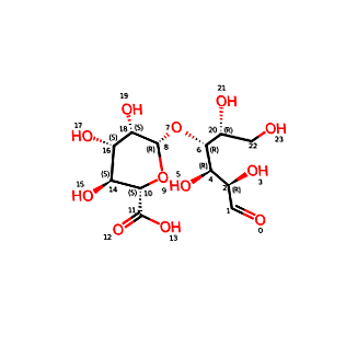 O=C[C@H](O)[C@@H](O)[C@H](O[C@@H]1O[C@H](C(=O)O)[C@@H](O)[C@H](O)[C@@H]1O)[C@H](O)CO